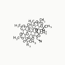 CC(=O)NC1C(SCC#N)OC(COC(C)=O)C(OC2OC(COC(C)=O)C(OC(C)=O)C(OC(C)=O)C2OC(C)=O)C1OC1OC(C)C(OC(C)=O)C(OC(C)=O)C1OC(C)=O